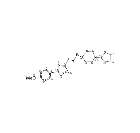 COc1ccc(-c2nc(CCCC3CCN(C4CCCC4)CC3)no2)cc1